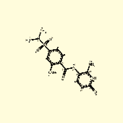 COc1cc(S(=O)(=O)N(C)C)ccc1C(=O)Nc1cnc(=O)[nH]c1N